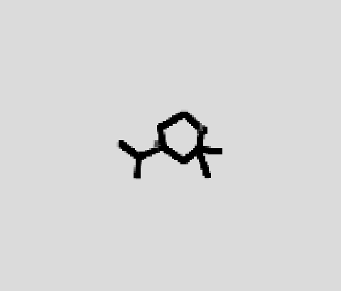 CC(C)[C@H]1CCOC(C)(C)C1